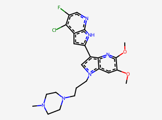 COc1cc2c(nc1OC)c(-c1cc3c(Cl)c(F)cnc3[nH]1)cn2CCCN1CCN(C)CC1